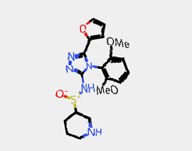 COc1cccc(OC)c1-n1c(N[S+]([O-])C2CCCNC2)nnc1-c1ccco1